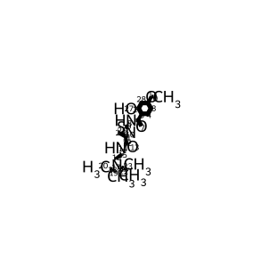 COc1ccc(C(=O)Nc2nc(C(=O)NCCN(C(C)C)C(C)C)cs2)c(O)c1